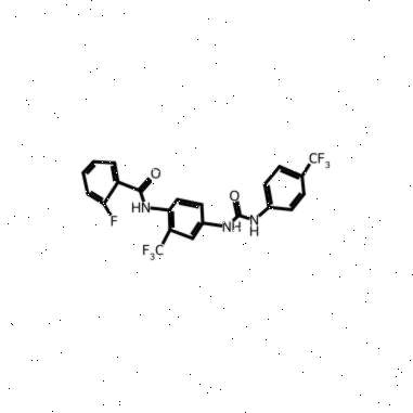 O=C(Nc1ccc(C(F)(F)F)cc1)Nc1ccc(NC(=O)c2ccccc2F)c(C(F)(F)F)c1